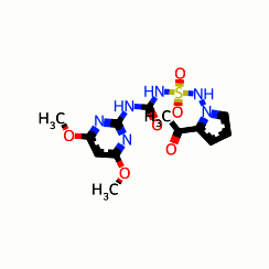 COc1cc(OC)nc(NC(=O)NS(=O)(=O)Nn2cccc2C(C)=O)n1